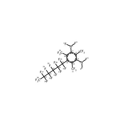 FN(F)c1c(C(F)(F)F)c(N(F)F)c(C(F)(F)F)c(C(F)(F)C(F)(F)C(F)(F)C(F)(F)C(F)(F)C(F)(F)F)c1C(F)(F)F